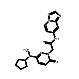 CN(c1ccc(=O)n(CC(=O)Nc2ccn3ncnc3c2)n1)C1CCCC1